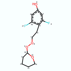 Oc1cc(F)c(CCOOC2CCCCO2)c(F)c1